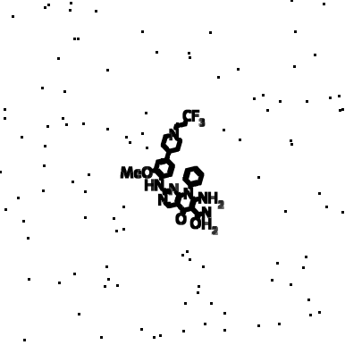 COc1cc(C2CCN(CCC(F)(F)F)CC2)ccc1Nc1ncc2c(=O)c(C(N)=O)c(N)n(-c3ccccc3)c2n1